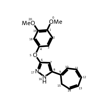 COc1ccc(Oc2cc(C3=CC=CC=CC3)[nH]n2)cc1OC